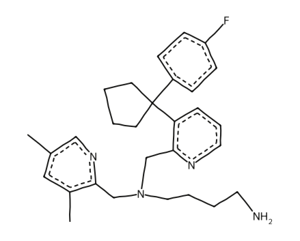 Cc1cnc(CN(CCCCN)Cc2ncccc2C2(c3ccc(F)cc3)CCCC2)c(C)c1